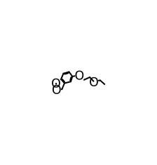 CCOCCOc1ccc2c(c1)COO2